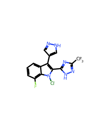 Fc1cccc2c(-c3cn[nH]c3)c(-c3nc(C(F)(F)F)n[nH]3)n(Cl)c12